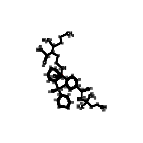 CCCC(C)C(CCNC(=O)c1ccc(C(=O)NC(C)(C)CCO)cc1P(=O)(c1ccccc1)c1ccccc1)C(=O)O